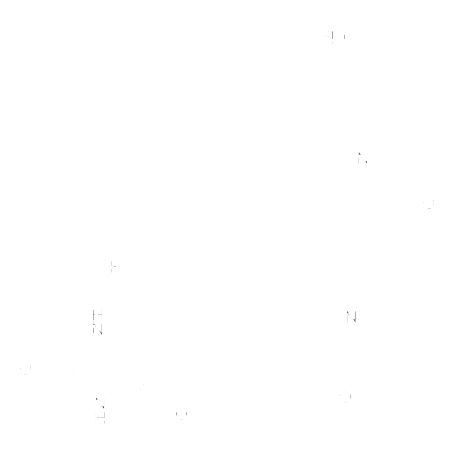 Cc1ccc(OC2CCN(C(=O)c3ccc([C@]4(CF)NC(=O)NC4=O)cc3)CC2)nc1